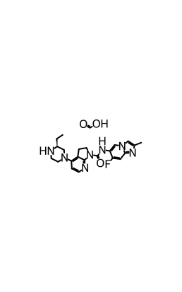 CC[C@H]1CN(c2ccnc3c2CCN3C(=O)Nc2cn3cc(C)nc3cc2F)CCN1.O=CO